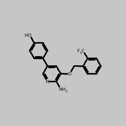 Nc1ncc(-c2ccc(O)cc2)cc1OCc1ccccc1C(F)(F)F